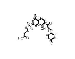 O=C(O)CCNS(=O)(=O)c1cc(F)c2ncc(C(=O)NCc3ccc(Cl)cc3)c(O)c2c1